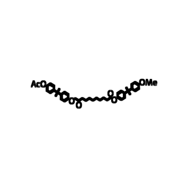 COc1ccc(C(C)(C)c2ccc(OC(=O)CCCCCCCCC(=O)COc3ccc(C(C)(C)c4ccc(OC(C)=O)cc4)cc3)cc2)cc1